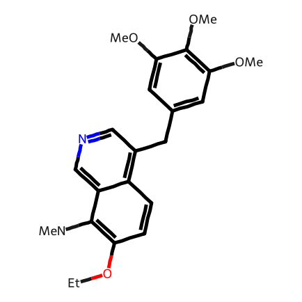 CCOc1ccc2c(Cc3cc(OC)c(OC)c(OC)c3)cncc2c1NC